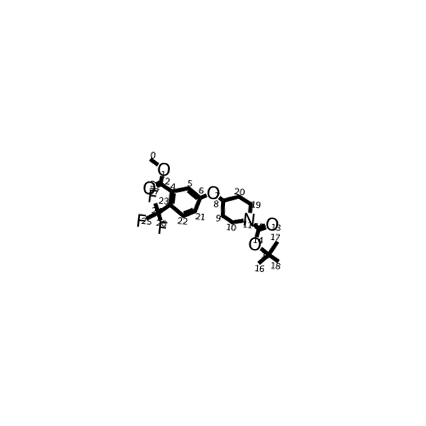 COC(=O)c1cc(OC2CCN(C(=O)OC(C)(C)C)CC2)ccc1C(F)(F)F